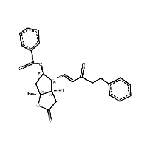 O=C(C=C[C@@H]1[C@H]2CC(=O)O[C@H]2C[C@H]1OC(=O)c1ccccc1)CCc1ccccc1